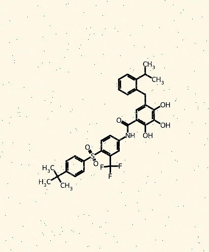 CC(C)c1ccccc1Cc1cc(C(=O)Nc2ccc(S(=O)(=O)c3ccc(C(C)(C)C)cc3)c(C(F)(F)F)c2)c(O)c(O)c1O